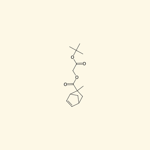 CC(C)(C)OC(=O)COC(=O)C1(C)CC2C=CC1C2